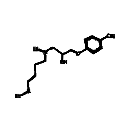 CCSCCCCN(CC)CC(O)COc1ccc(C#N)cc1